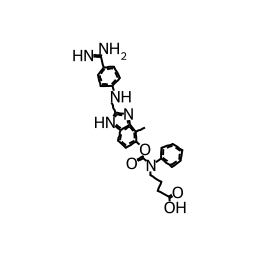 Cc1c(OC(=O)N(CCCC(=O)O)c2ccccc2)ccc2[nH]c(CNc3ccc(C(=N)N)cc3)nc12